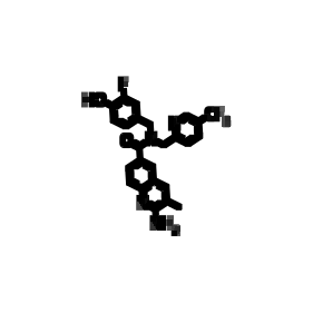 Cc1cc2cc(C(=O)N(Cc3ccc(O)c(F)c3)Cc3ccc(C(F)(F)F)cn3)ccc2nc1N